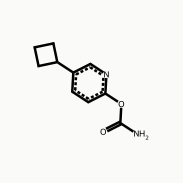 NC(=O)Oc1ccc(C2CCC2)cn1